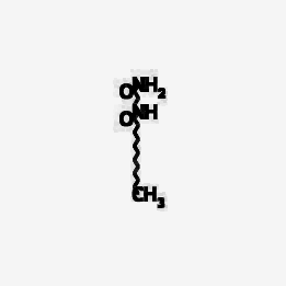 CCCCCCCCCCCC(=O)NCCC(N)=O